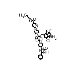 CCCCOC(=O)c1ccc(N2CCN(C(=O)[C@@H](Cc3cc(Cl)c(N)c(C(F)(F)F)c3)OC(=O)N3CCC(n4nc(-c5ccccc5)[nH]c4=O)CC3)CC2)nc1